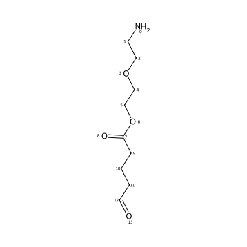 NCCOCCOC(=O)CCCC=O